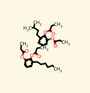 CCC(=O)Oc1cccc(CCC(C)C)c1OC(=O)CC.CCCCCCc1cccc(OC(=O)CC)c1OC(=O)CC